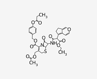 CCOC(=O)C(C(=O)NC1C(=O)N2C(C(=O)OCc3ccc(OC(=O)CC)cc3)=C(COC(C)=O)CSC12)C1=C2C=COC=C2CC1